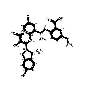 CCc1ccc(N[C@H](C)c2cc(Cl)cn3c(=O)c(Cl)c(N4Cc5cc(F)ccc5[C@H]4C)nc23)c(C(=O)O)n1